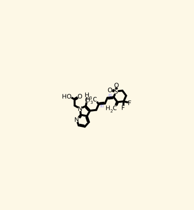 C=C1/C(=C\C=C(/C)Cc2c(C)n(CC(=O)O)c3ncccc23)S(=O)(=O)CCC1(F)F